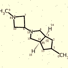 CC1C[C@@H]2CN(C3CN(C)C3)C[C@@H]2C1